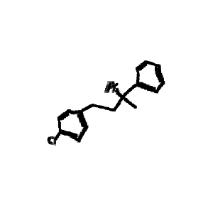 CC(C)C(C)(CCc1ccc(Cl)cc1)c1ccccc1